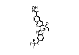 CCS(=O)(=O)c1cc2cc(/C(C)=N/O)ccc2nc1-c1nc2cc(SC(F)(F)F)ccc2o1